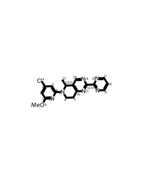 COc1cc(Cl)cc(N2CCc3nc(-c4ncccn4)ncc3C2C)n1